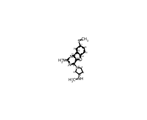 CN[C@@H]1CCN(c2nc(N)nc3c2oc2ccc(SC)cc23)C1